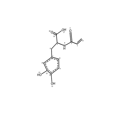 C=CC(=O)NC(Cc1ccc(O)c(O)c1)C(=O)O